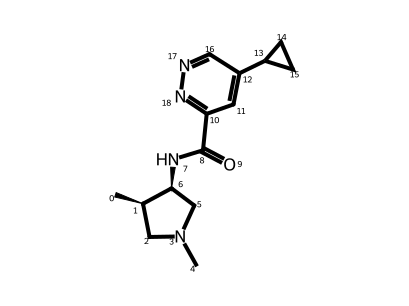 C[C@@H]1CN(C)C[C@@H]1NC(=O)c1cc(C2CC2)cnn1